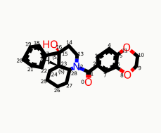 O=C(c1ccc2c(c1)OCCO2)N1CC[C@@](O)(c2ccccc2)[C@H]2CCCCC21